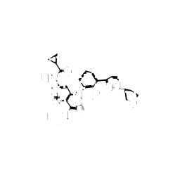 COc1c(Nc2cc(NC(=O)C3CC3)nnc2C(N)=O)cccc1-c1ccn([C@@H]2CCOC2)n1